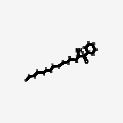 CCCCCCCCCCCCCC(N)C(=O)C1CCCCC1